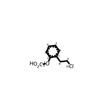 O=C(O)Oc1ccccc1CCCl